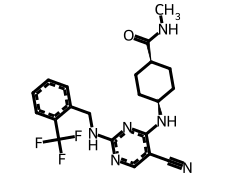 CNC(=O)[C@H]1CC[C@@H](Nc2nc(NCc3ccccc3C(F)(F)F)ncc2C#N)CC1